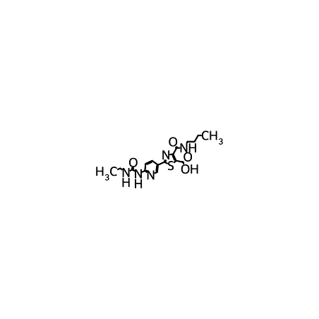 CCCCNC(=O)c1nc(-c2ccc(NC(=O)NCC)nc2)sc1C(=O)O